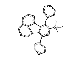 C[Si](C)(C)c1cc(-c2ccccc2)c2c(c1-c1ccccc1)-c1cccc3cccc-2c13